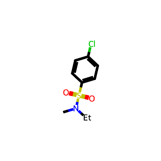 CCN(C)S(=O)(=O)c1ccc(Cl)cc1